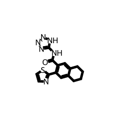 O=C(Nc1nnn[nH]1)c1cc2c(cc1-c1nccs1)CCCC2